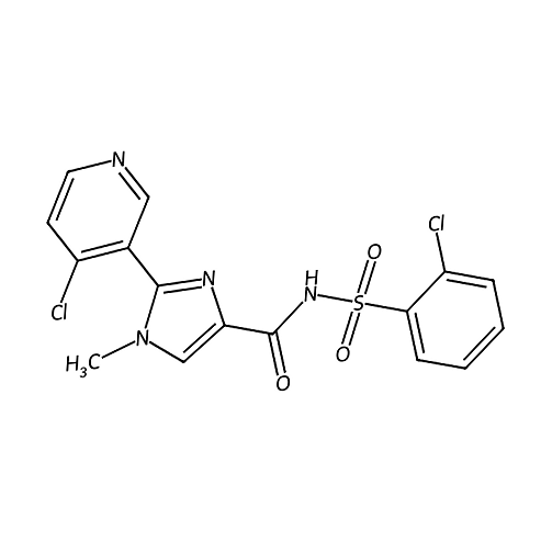 Cn1cc(C(=O)NS(=O)(=O)c2ccccc2Cl)nc1-c1cnccc1Cl